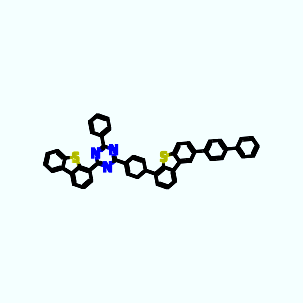 C1=CC(c2cccc3c2sc2ccc(-c4ccc(-c5ccccc5)cc4)cc23)CC=C1c1nc(-c2ccccc2)nc(-c2cccc3c2sc2ccccc23)n1